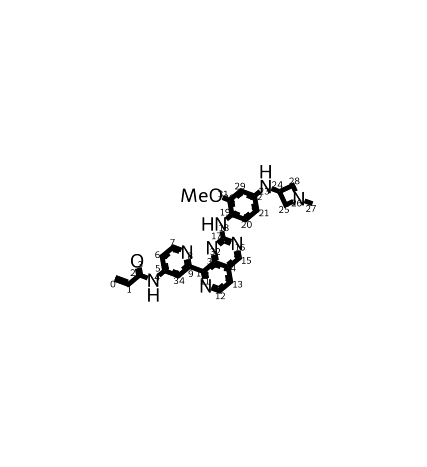 C=CC(=O)Nc1ccnc(-c2nccc3cnc(Nc4ccc(NC5CN(C)C5)cc4OC)nc23)c1